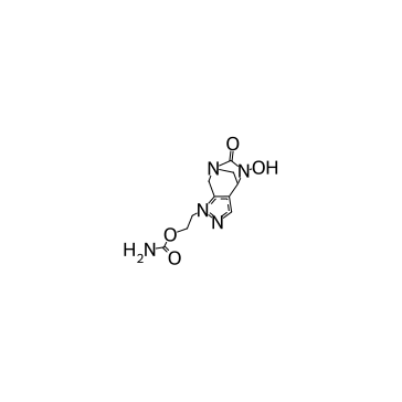 NC(=O)OCCn1ncc2c1CN1CC2N(O)C1=O